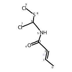 C/C=C/C(=O)NC(Cl)SCl